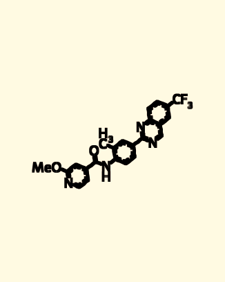 COc1cc(C(=O)Nc2ccc(-c3ncc4cc(C(F)(F)F)ccc4n3)cc2C)ccn1